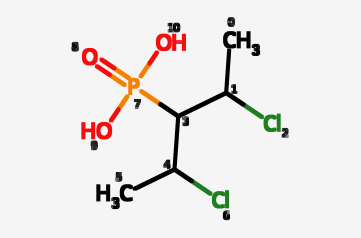 CC(Cl)C(C(C)Cl)P(=O)(O)O